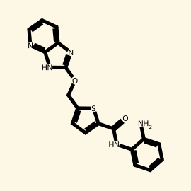 Nc1ccccc1NC(=O)c1ccc(COc2nc3cccnc3[nH]2)s1